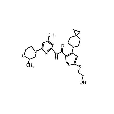 Cc1cc(NC(=O)c2ccc(SCCO)cc2N2CCC3(CC2)CC3)nc(N2CCO[C@H](C)C2)c1